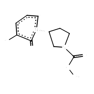 CC(C)(C)OC(=O)N1CC[C@@H](n2cccc(Br)c2=O)C1